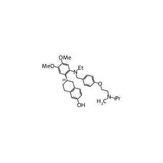 CCN(Cc1ccc(OCCN(C)C(C)C)cc1)c1cc(OC)c(OC)cc1[C@@H]1CCc2cc(O)ccc2C1